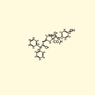 O=C(/C=C1/CNC(C(=O)O)(C(=O)Oc2ccc(O)cc2)C1)C(c1ccccc1)c1ccccc1